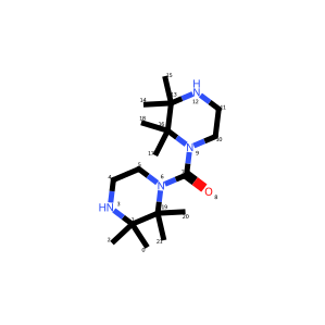 CC1(C)NCCN(C(=O)N2CCNC(C)(C)C2(C)C)C1(C)C